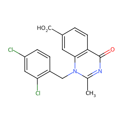 Cc1nc(=O)c2ccc(C(=O)O)cc2n1Cc1ccc(Cl)cc1Cl